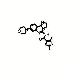 Cc1nc(C)c(C(=O)NC2=Nc3cc(N4CCOCC4)ccc3C3=NCCN23)s1